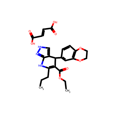 CCCC1=C(C(=O)OCC)C(c2ccc3c(c2)OCCO3)c2c[nH]nc2N1.O=C(O)C=CC(=O)O